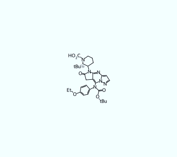 CCOc1ccc(N(C(=O)OC(C)(C)C)c2c3c(nc4ccnn24)N(C2CCCN(C(=O)O)[C@H]2C(C)(C)C)C(=O)C3)cc1